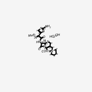 CON=C(C(=O)N[C@@H]1C(=O)N2C(C(=O)[O-])=C(C[N+]3(C)CCCC3)CS[C@H]12)c1csc(N)n1.Cl.Cl